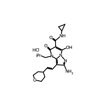 CC(C)Cn1c(=O)c(C(=O)NC2CC2)c(O)n2nc(N)c(C=CC3CCOCC3)c12.Cl